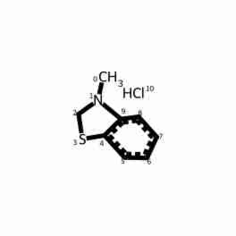 CN1CSc2ccccc21.Cl